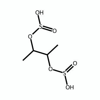 CC(OS(=O)O)C(C)OS(=O)O